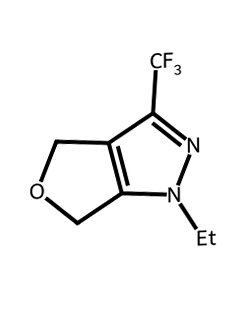 CCn1nc(C(F)(F)F)c2c1COC2